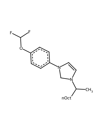 CCCCCCCCC(C)N1C=CN(c2ccc(OC(F)F)cc2)C1